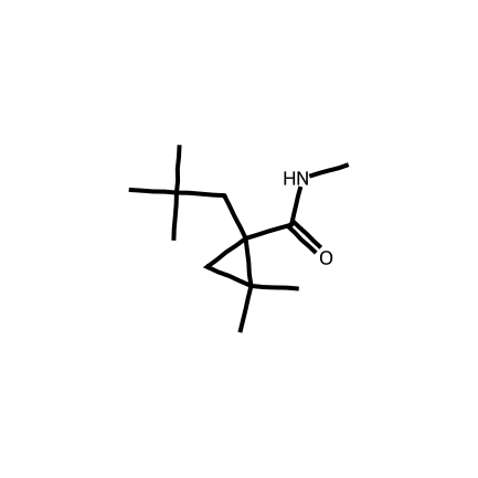 CNC(=O)C1(CC(C)(C)C)CC1(C)C